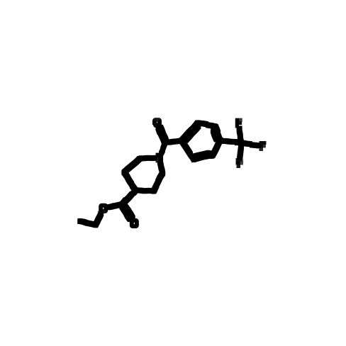 CCOC(=O)C1CCN(C(=O)c2ccc(C(F)(F)F)cc2)CC1